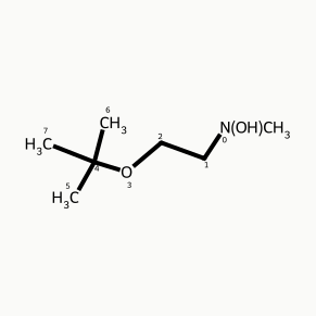 CN(O)CCOC(C)(C)C